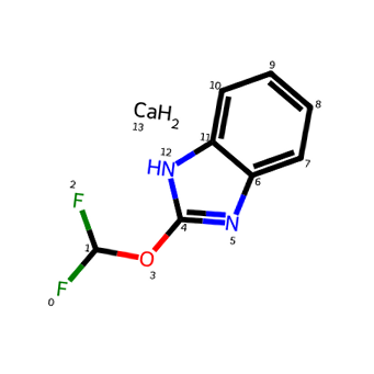 FC(F)Oc1nc2ccccc2[nH]1.[CaH2]